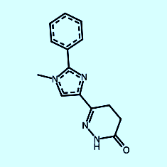 Cn1cc(C2=NNC(=O)CC2)nc1-c1ccccc1